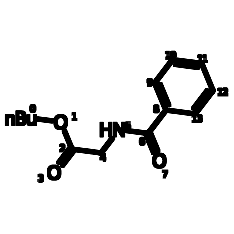 CCCCOC(=O)CNC(=O)c1ccccc1